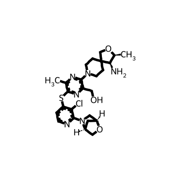 Cc1nc(N2CCC3(CC2)CO[C@@H](C)[C@H]3N)c(CO)nc1Sc1ccnc(N2C[C@@H]3C[C@H]2CO3)c1Cl